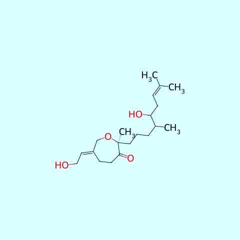 CC(C)=CCC(O)C(C)CCC[C@]1(C)OC/C(=C/CO)CCC1=O